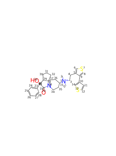 C[N+](C)(CCc1cscc1-c1ccsc1)C1CCN(C(=O)[C@](O)(c2ccccc2)C2CCCC2)CC1